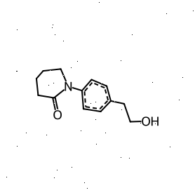 O=C1CCCCN1c1ccc(CCO)cc1